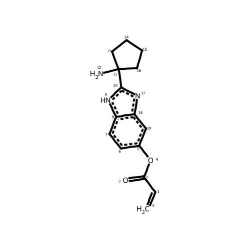 C=CC(=O)Oc1ccc2[nH]c(C3(N)CCCC3)nc2c1